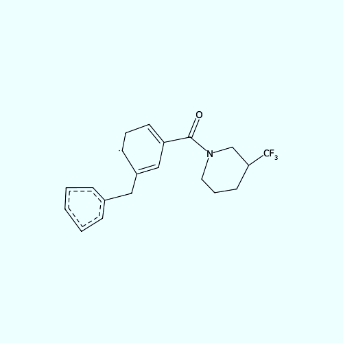 O=C(C1=CC[CH]C(Cc2ccccc2)=C1)N1CCCC(C(F)(F)F)C1